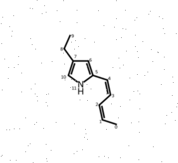 C/C=C\C=C/c1cc(CC)c[nH]1